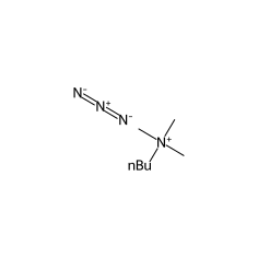 CCCC[N+](C)(C)C.[N-]=[N+]=[N-]